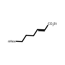 CCCCCCCCC/C=C/C(=O)OCC